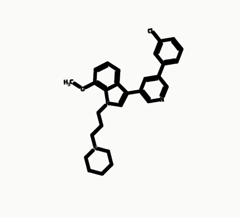 COc1cccc2c(-c3cncc(-c4cccc(Cl)c4)c3)cn(CCCN3CCCCC3)c12